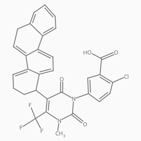 Cn1c(C(F)(F)F)c(C2CCC=c3c2ccc2c3=CCc3ccccc3-2)c(=O)n(-c2ccc(Cl)c(C(=O)O)c2)c1=O